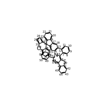 c1ccc(-c2nc(-c3ccccc3-c3ccc4c(c3)-c3ccccc3C43c4ccccc4Oc4ccccc43)c3sc4ccccc4c3n2)cc1